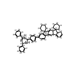 C1=CCC2C(=C1)C1C=C3C(=CC1C21CCCCC1)C1(CCCCC1)c1cc(-c2ccc(C4NC(c5ccccc5)=NC(c5ccccc5)N4)cc2)ccc13